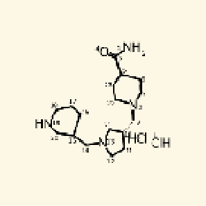 Cl.Cl.NC(=O)C1CCN(C[C@@H]2CCN(C[C@@H]3CCCNC3)C2)CC1